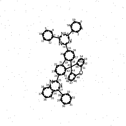 c1ccc(-c2nc(-c3ccccc3)nc(-c3ccc4c(c3)-c3ccc(-c5nc(-c6ccccc6)c6ccccc6n5)cc3C43c4ccccc4Oc4ccccc43)n2)cc1